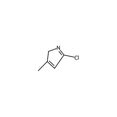 CC1=CC(Cl)=NC1